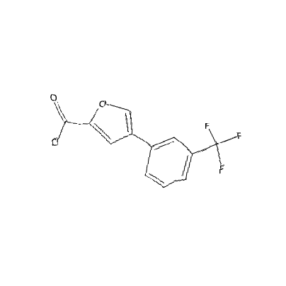 O=C(Cl)c1cc(-c2cccc(C(F)(F)F)c2)co1